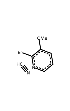 C#N.COc1cccnc1Br